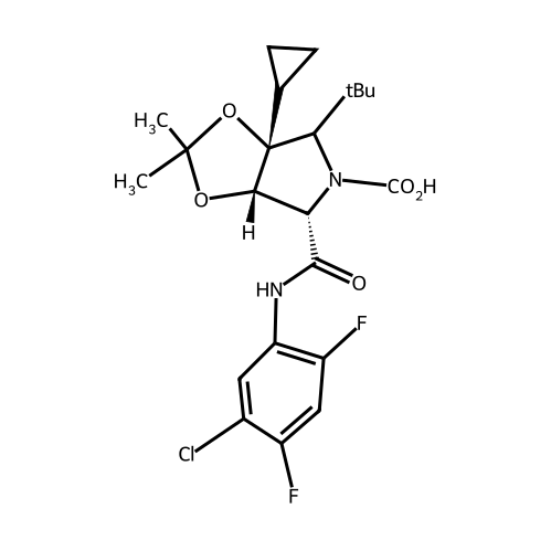 CC1(C)O[C@H]2[C@@H](C(=O)Nc3cc(Cl)c(F)cc3F)N(C(=O)O)C(C(C)(C)C)[C@@]2(C2CC2)O1